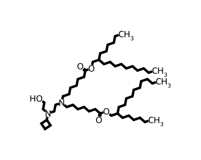 CCCCCCCCCCC(CCCCCC)COC(=O)CCCCCCN(CCCCCCC(=O)OCC(CCCCCC)CCCCCCCCCC)CCN(CCO)C1CCC1